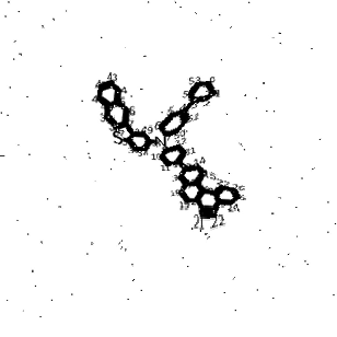 c1ccc(-c2ccc(N(c3ccc(-c4ccc5c(ccc6ccc7ccccc7c65)c4)cc3)c3ccc4sc5cc6ccccc6cc5c4c3)cc2)cc1